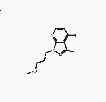 COCCCn1nc(C)c2c(Cl)ccnc21